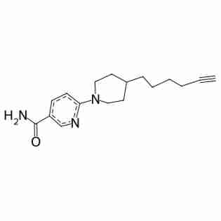 C#CCCCCC1CCN(c2ccc(C(N)=O)cn2)CC1